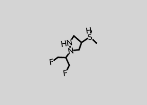 C[SH](C)C1CNN(C(CF)CF)C1